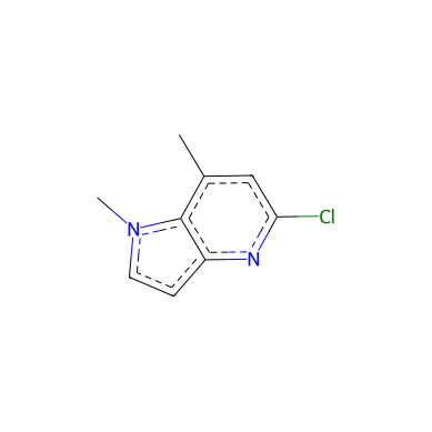 Cc1cc(Cl)nc2ccn(C)c12